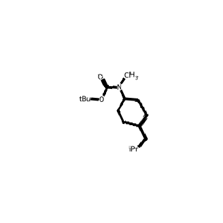 CC(C)CC1CCC(N(C)C(=O)OC(C)(C)C)CC1